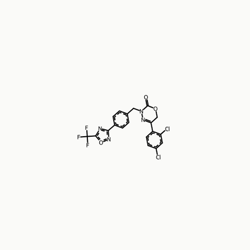 O=C1OCC(c2ccc(Cl)cc2Cl)=NN1Cc1ccc(-c2noc(C(F)(F)F)n2)cc1